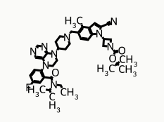 CCN(C(=O)c1cc(F)ccc1N1CCN(C2CCN(Cc3ccc4c(cc(C#N)n4C4CN(C(=O)OC(C)(C)C)C4)c3C)CC2)c2ncncc21)C(C)C